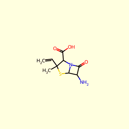 C=CC1(C)SC2C(N)C(=O)N2C1C(=O)O